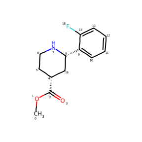 COC(=O)[C@@H]1CCN[C@H](c2ccccc2F)C1